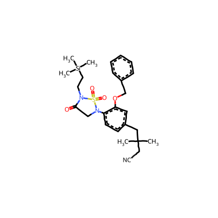 CC(C)(CC#N)Cc1ccc(N2CC(=O)N(CC[Si](C)(C)C)S2(=O)=O)c(OCc2ccccc2)c1